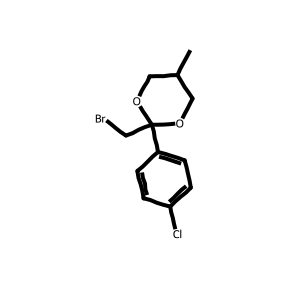 CC1COC(CBr)(c2ccc(Cl)cc2)OC1